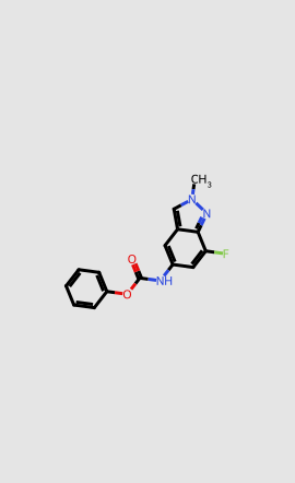 Cn1cc2cc(NC(=O)Oc3ccccc3)cc(F)c2n1